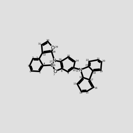 c1ccc2c(c1)B1Oc3cc(-n4c5ccccc5c5ccccc54)ccc3N1c1occc1-2